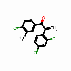 C=C(C(=O)c1ccc(Cl)c(C)c1)c1ccc(Cl)cc1Cl